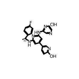 C[C@H](Nc1cc(-c2ccc(O)nc2)cc(Nc2cnccn2)n1)c1ccc(F)cc1.Cl